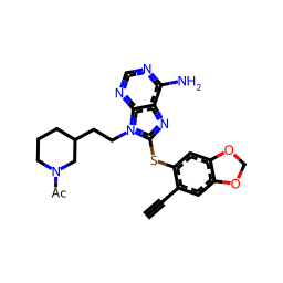 C#Cc1cc2c(cc1Sc1nc3c(N)ncnc3n1CCC1CCCN(C(C)=O)C1)OCO2